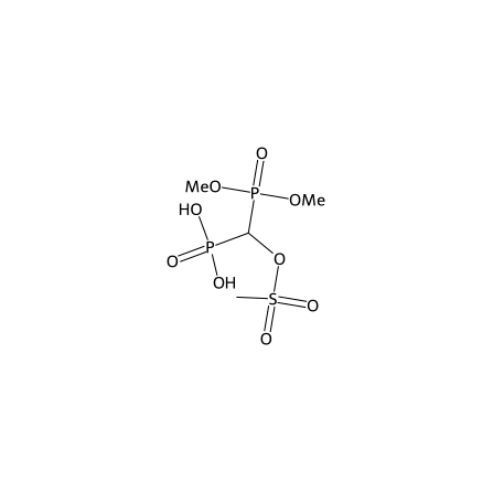 COP(=O)(OC)C(OS(C)(=O)=O)P(=O)(O)O